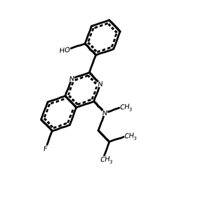 CC(C)CN(C)c1nc(-c2ccccc2O)nc2ccc(F)cc12